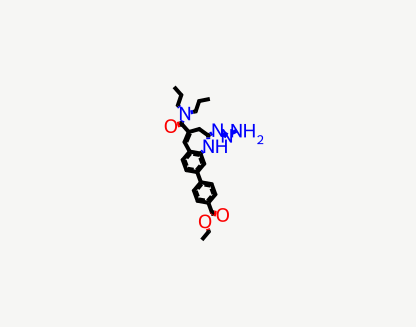 CCCN(CCC)C(=O)C1=Cc2ccc(-c3ccc(C(=O)OCC)cc3)cc2NC(N=NN)C1